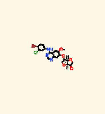 COc1cc2c(Nc3ccc(Br)c(Cl)c3)ncnc2cc1O[C@H]1CO[C@@H]2C(=O)CO[C@H]12